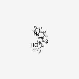 CCC(C)CN(CO)C(=O)c1ccc2cccnc2c1